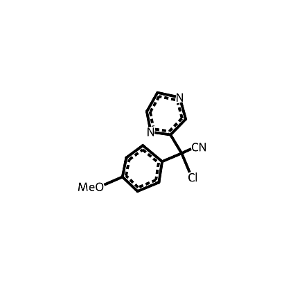 COc1ccc(C(Cl)(C#N)c2cnccn2)cc1